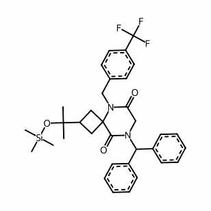 CC(C)(O[Si](C)(C)C)C1CC2(C1)C(=O)N(C(c1ccccc1)c1ccccc1)CC(=O)N2Cc1ccc(C(F)(F)F)cc1